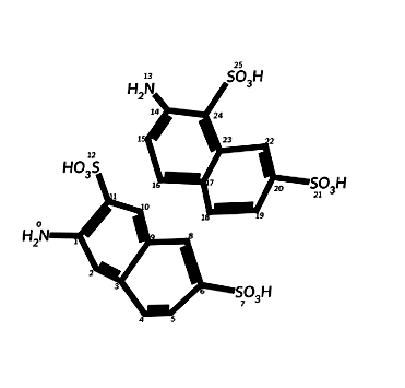 Nc1cc2ccc(S(=O)(=O)O)cc2cc1S(=O)(=O)O.Nc1ccc2ccc(S(=O)(=O)O)cc2c1S(=O)(=O)O